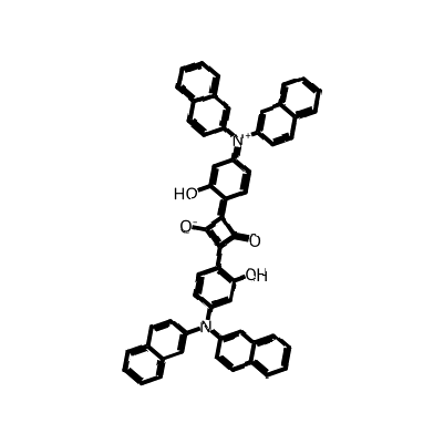 O=C1C(c2ccc(N(c3ccc4ccccc4c3)c3ccc4ccccc4c3)cc2O)=C([O-])/C1=C1/C=CC(=[N+](c2ccc3ccccc3c2)c2ccc3ccccc3c2)C=C1O